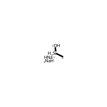 C[SiH2]O.[NaH].[NaH]